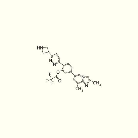 Cc1cn2cc(-c3ccc(-c4ccc(C5CNC5)nn4)c(OC(=O)C(F)(F)F)c3)cc(C)c2n1